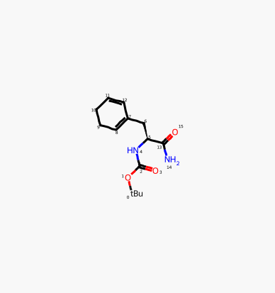 CC(C)(C)OC(=O)N[C@@H](CC1=CCCC=C1)C(N)=O